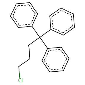 ClCCCC(c1ccccc1)(c1ccccc1)c1ccccc1